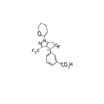 O=C(O)c1cccc([C@H]2c3c(C(F)(F)F)nn(C4CCCCO4)c3C[C@H]2F)c1